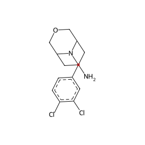 NC1CC2COCC(C1)N2Cc1ccc(Cl)c(Cl)c1